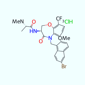 CN[C@@H](C)C(=O)N[C@H]1COc2c(cccc2C(F)(F)F)N(Cc2c(OC)ccc3cc(Br)ccc23)C1=O.Cl